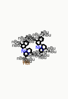 Br.Br.CCCC[Si](CCCC)(CCCC)C1=CC[C@@H](c2c(N)cc([Si](CCCC)(CCCC)CCCC)c3cc([Si](CCCC)(CCCC)CCCC)ccc23)c2ccc([Si](CCCC)(CCCC)CCCC)cc21.CCCC[Si](CCCC)(CCCC)C1=CC[C@@H](c2c(N)cc([Si](CCCC)(CCCC)CCCC)c3cc([Si](CCCC)(CCCC)CCCC)ccc23)c2ccc([Si](CCCC)(CCCC)CCCC)cc21